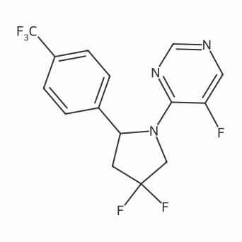 Fc1cncnc1N1CC(F)(F)CC1c1ccc(C(F)(F)F)cc1